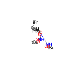 CC(C)CCCC(C)[C@H]1CC[C@H]2[C@@H]3CC=C4C[C@@H](OC(=O)CN(CCCCCCCCNC(=O)OC(C)(C)C)CCCNC(=O)OC(C)(C)C)CC[C@]4(C)[C@H]3CC[C@]12C